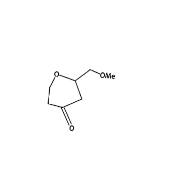 COCC1CC(=O)CCO1